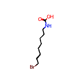 O=C(O)NCCCCCCCCBr